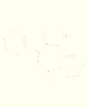 CNC1C(=O)N(c2ccccc2)CC(C)(C)c2ccccc21